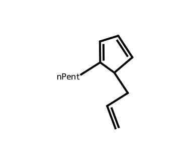 C=CCC1C=CC=C1CCCCC